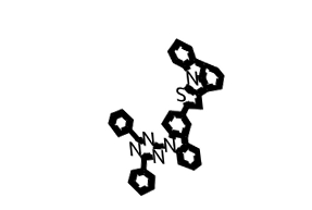 c1ccc(-c2nc(-c3ccccc3)nc(-n3c4ccccc4c4cc(-c5cc6c7cccc8c9ccccc9n(c6s5)c87)ccc43)n2)cc1